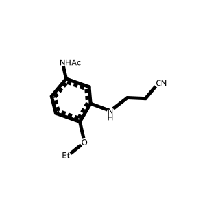 CCOc1ccc(NC(C)=O)cc1NCCC#N